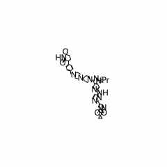 CC(C)n1nc(N2CCC(N3CCN(Cc4ccc(C5CCC(=O)NC5=O)cc4)CC3)CC2)c2cnc(Nc3ccnc(-c4cnn(S(=O)(=O)C5CC5)c4)n3)cc21